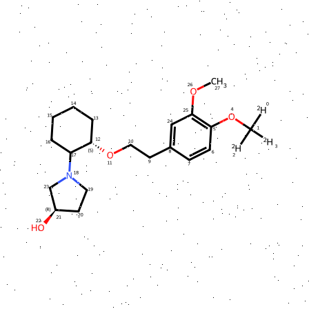 [2H]C([2H])([2H])Oc1ccc(CCO[C@H]2CCCCC2N2CC[C@@H](O)C2)cc1OC